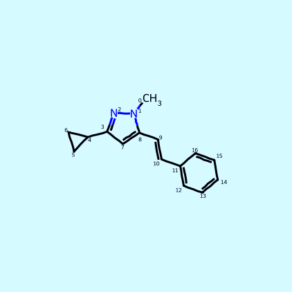 Cn1nc(C2CC2)cc1/C=C/c1ccccc1